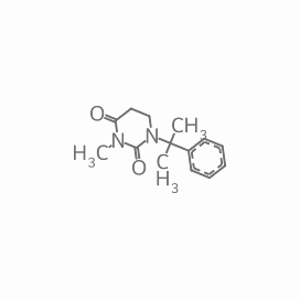 CN1C(=O)CCN(C(C)(C)c2ccccc2)C1=O